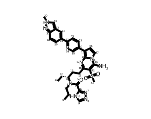 CCCN(C(=O)c1nnc[nH]1)[C@H](CC)CCc1nc2c(-c3ccc(-c4ccc5nn(C)cc5c4)nc3)ccn2c(N)c1S(C)(=O)=O